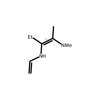 C=CN/C(CC)=C(/C)NC